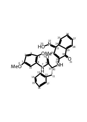 COc1ccc(OC)c(NC(=O)[C@@H](Cc2ccccc2)NC2=CC(=NO)c3ccccc3C2=O)c1